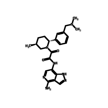 C[C@H]1CC[C@H](c2cccc(CN(C)C)c2)N(C(=O)C(=O)Nc2cnc(N)c3cn[nH]c23)C1